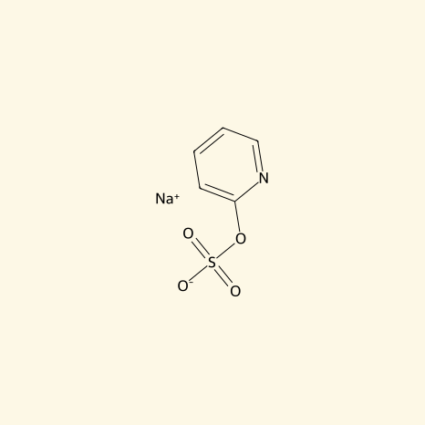 O=S(=O)([O-])Oc1ccccn1.[Na+]